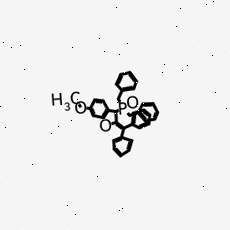 COc1ccc2c(c1)OC(=C(c1ccccc1)c1ccccc1)C2P(=O)(Cc1ccccc1)Cc1ccccc1